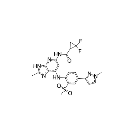 Cc1nc2c(Nc3ccc(-c4ccn(C)n4)cc3S(C)(=O)=O)cc(NC(=O)C3CC3(F)F)nc2[nH]1